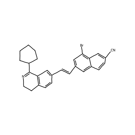 N#Cc1ccc2cc(C=Cc3ccc4c(c3)C(C3CCCCC3)=NCC4)cc(Br)c2c1